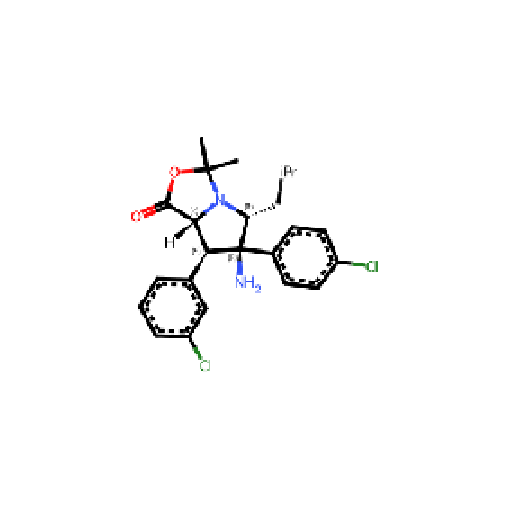 CC(C)C[C@H]1N2[C@@H](C(=O)OC2(C)C)[C@H](c2cccc(Cl)c2)[C@@]1(N)c1ccc(Cl)cc1